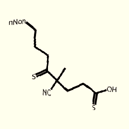 CCCCCCCCCCCCC(=S)C(C)(C#N)CCC(O)=S